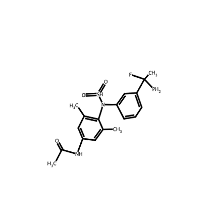 CC(=O)Nc1cc(C)c(N(c2cccc(C(C)(F)P)c2)[SH](=O)=O)c(C)c1